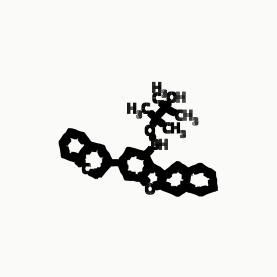 CC(C)(O)C(C)(C)OBc1cc(-c2ccc3ccccc3c2)cc2oc3cc4ccccc4cc3c12